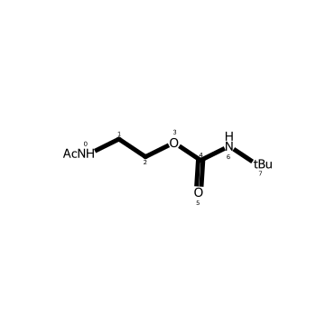 CC(=O)NCCOC(=O)NC(C)(C)C